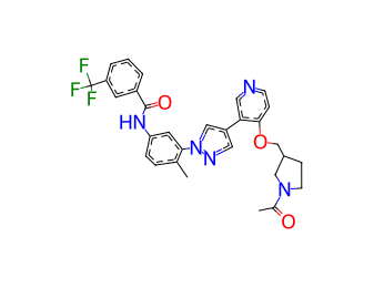 CC(=O)N1CCC(COc2ccncc2-c2cnn(-c3cc(NC(=O)c4cccc(C(F)(F)F)c4)ccc3C)c2)C1